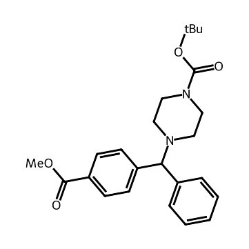 COC(=O)c1ccc(C(c2ccccc2)N2CCN(C(=O)OC(C)(C)C)CC2)cc1